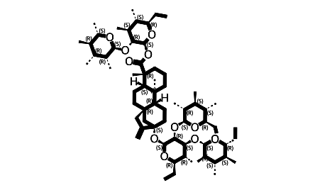 C=C1C[C@@]23CC[C@H]4[C@@](C)(CCC[C@@]4(C)C(=O)O[C@@H]4O[C@H](CC)[C@@H](C)[C@H](C)[C@H]4O[C@@H]4O[C@@H](C)[C@H](C)[C@@H](C)[C@H]4C)[C@@H]2CC[C@]1(O[C@@H]1O[C@H](CC)[C@@H](C)[C@H](O[C@@H]2O[C@H](CC)[C@@H](C)[C@H](C)[C@H]2C)[C@H]1O[C@@H]1O[C@H](CC)[C@@H](C)[C@H](C)[C@H]1C)C3